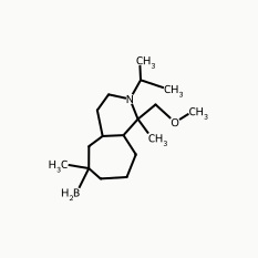 BC1(C)CCCC2C(CCN(C(C)C)C2(C)COC)C1